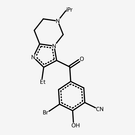 CCc1nc2n(c1C(=O)c1cc(Br)c(O)c(C#N)c1)CN(C(C)C)CC2